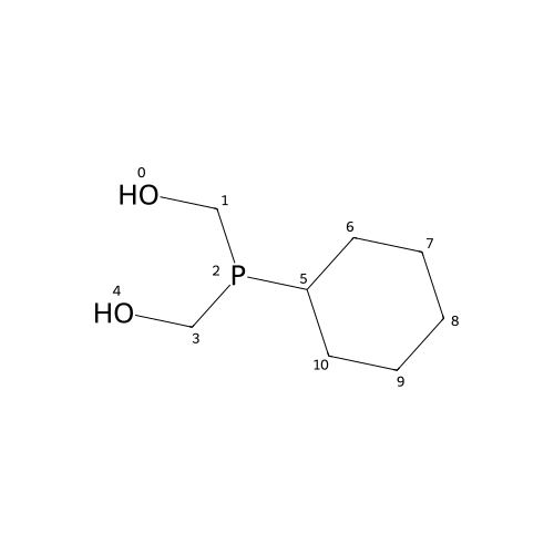 OCP(CO)C1CCCCC1